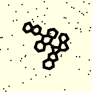 c1ccc2cc(-c3c4ccccc4c(-n4c5cc6ccccc6cc5c5ccc6ccccc6c54)c4ccccc34)ccc2c1